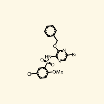 COc1ccc(Cl)cc1S(=O)(=O)Nc1ncc(Br)nc1OCc1ccccc1